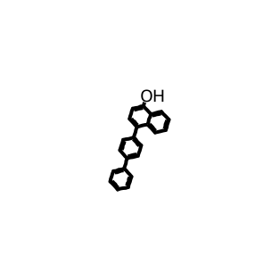 Oc1ccc(-c2ccc(-c3ccccc3)cc2)c2ccccc12